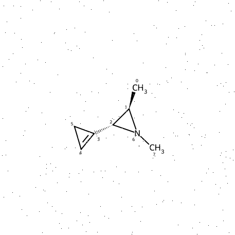 C[C@@H]1[C@@H](C2=CC2)N1C